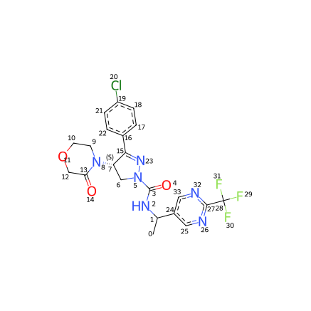 CC(NC(=O)N1C[C@H](N2CCOCC2=O)C(c2ccc(Cl)cc2)=N1)c1cnc(C(F)(F)F)nc1